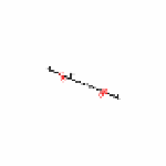 CC(C)CCCCCOC(=O)CCCCCCCCCCCCCCC(CCC(=O)OCCCCCC(C)C)C(C)C